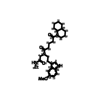 CCNC(=O)CN(CCc1c[nH]c2ccc(OC)cc12)C(=O)CCCC(=O)N1CCCC2CCCCC21